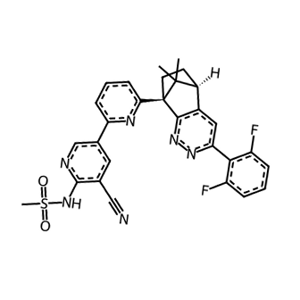 CC1(C)[C@H]2CC[C@@]1(c1cccc(-c3cnc(NS(C)(=O)=O)c(C#N)c3)n1)c1nnc(-c3c(F)cccc3F)cc12